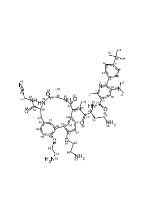 Cc1nc(-c2ccc(C(C)(C)C)cc2)c(N(C)C)cc1C(=O)N[C@@H](CCN)C(=O)N(C)[C@@H]1C(=O)N[C@@H](C)C(=O)N[C@H](C(=O)NCC#N)Cc2ccc(OCCN)c(c2)-c2cc1ccc2OCCN